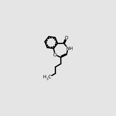 CCCCC1=CNC(=O)c2ccccc2O1